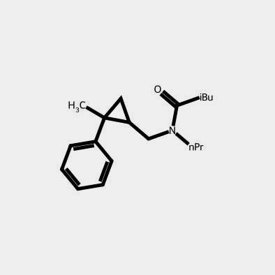 CCCN(CC1CC1(C)c1ccccc1)C(=O)C(C)CC